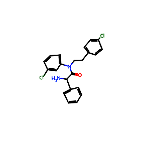 NC(C(=O)N(CCc1ccc(Cl)cc1)c1cccc(Cl)c1)c1ccccc1